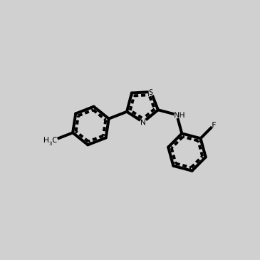 Cc1ccc(-c2csc(Nc3ccccc3F)n2)cc1